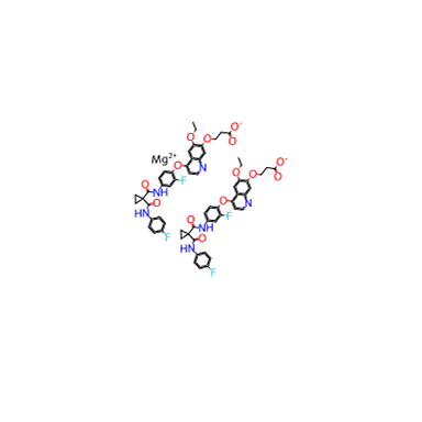 CCOc1cc2c(Oc3ccc(NC(=O)C4(C(=O)Nc5ccc(F)cc5)CC4)cc3F)ccnc2cc1OCCC(=O)[O-].CCOc1cc2c(Oc3ccc(NC(=O)C4(C(=O)Nc5ccc(F)cc5)CC4)cc3F)ccnc2cc1OCCC(=O)[O-].[Mg+2]